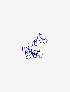 CN(C)c1nc(N[C@H]2CC[C@@H](CNC(=O)C3Cc4ccccc4N3)CC2)nc2ccccc12